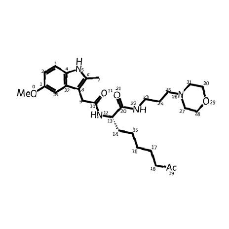 COc1ccc2[nH]c(C)c(CC(=O)N[C@@H](CCCCCC(C)=O)C(=O)NCCCN3CCOCC3)c2c1